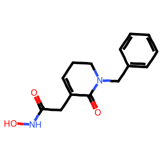 O=C(CC1=CCCN(Cc2ccccc2)C1=O)NO